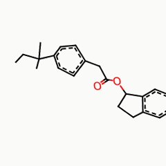 CCC(C)(C)c1ccc(CC(=O)OC2CCc3ccccc32)cc1